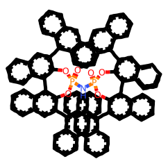 O=P1(NP2(=O)Oc3c(-c4c5ccccc5cc5ccccc45)cc4ccccc4c3-c3c(c(-c4c5ccccc5cc5ccccc45)cc4ccccc34)O2)Oc2c(-c3c4ccccc4cc4ccccc34)cc3c(c2-c2c(c(-c4c5ccccc5cc5ccccc45)cc4ccccc24)O1)=C=C=CC=3